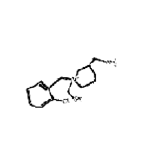 CC(C)C[N+]1(Cc2ccccc2Cl)CC[C@H](CN)C1